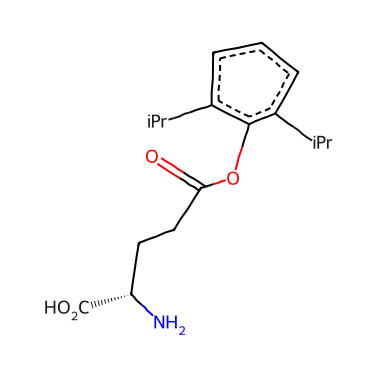 CC(C)c1cccc(C(C)C)c1OC(=O)CC[C@H](N)C(=O)O